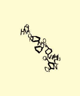 Cc1ncc(Cl)cc1C(=O)NC1CCC(Cn2c(=O)n(-c3ccc(OC[C@H]4COCCN4)nc3)c3ccccc32)CC1